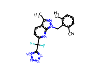 Cc1cccc(C#N)c1Cn1nc(C)c2ccc(C(F)(F)c3nnn[nH]3)nc21